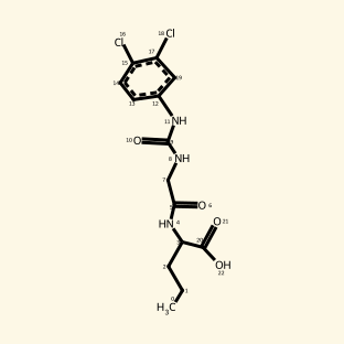 CCCC(NC(=O)CNC(=O)Nc1ccc(Cl)c(Cl)c1)C(=O)O